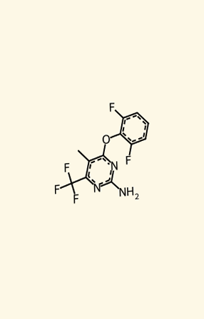 Cc1c(Oc2c(F)cccc2F)nc(N)nc1C(F)(F)F